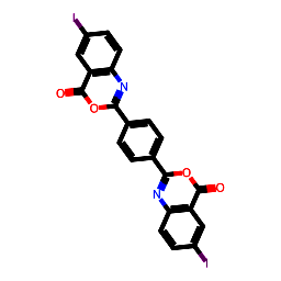 O=c1oc(-c2ccc(-c3nc4ccc(I)cc4c(=O)o3)cc2)nc2ccc(I)cc12